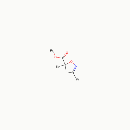 CCC1(C(=O)OC(C)C)CC(C(C)C)=NO1